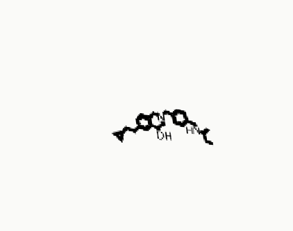 C=C(CC)NCc1ccc(CN2Cc3ccc(CCC4CC4)cc3C(O)C2)cc1